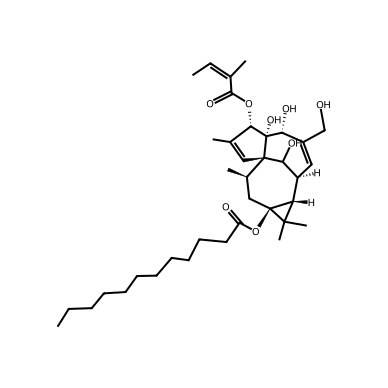 C/C=C(/C)C(=O)O[C@H]1C(C)=C[C@]23C(O)[C@@H](C=C(CO)[C@@H](O)[C@]12O)[C@@H]1C(C)(C)[C@]1(OC(=O)CCCCCCCCCCC)C[C@H]3C